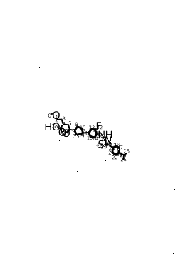 COCCC(CC(=O)c1ccc(-c2ccc(Nc3nc(-c4ccc(C(C)C)cc4)cs3)c(F)c2)cc1)C(=O)O